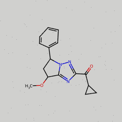 COC1CC(c2ccccc2)n2nc(C(=O)C3CC3)nc21